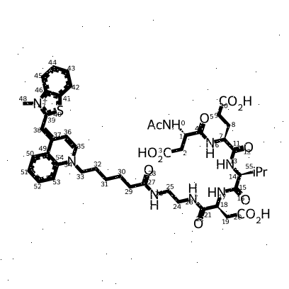 CC(=O)N[C@@H](CC(=O)O)C(=O)N[C@@H](CCC(=O)O)C(=O)N[C@H](C(=O)N[C@@H](CC(=O)O)C(=O)NCCNC(=O)CCCCCN1C=CC(=Cc2sc3ccccc3[n+]2C)c2ccccc21)C(C)C